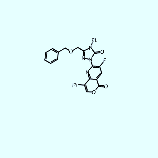 CCn1c(COCc2ccccc2)nn(-c2nc3c(C(C)C)coc(=O)c3cc2F)c1=O